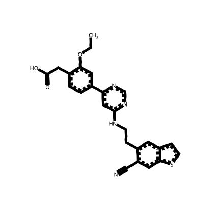 CCOc1cc(-c2cc(NCCc3cc4ccsc4cc3C#N)ncn2)ccc1CC(=O)O